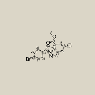 COC(=O)c1cc(Cl)cc2cnn(C(C)c3ccc(Br)cc3)c12